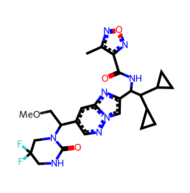 COCC(c1cnn2cc(C(NC(=O)c3nonc3C)C(C3CC3)C3CC3)nc2c1)N1CC(F)(F)CNC1=O